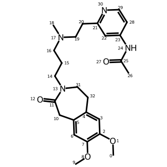 COc1cc2c(cc1OC)CC(=O)N(CCCN(C)CCc1cc(NC(C)=O)ccn1)CC2